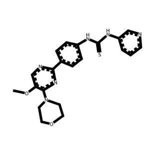 COc1cnc(-c2ccc(NC(=S)Nc3cccnc3)cc2)nc1N1CCOCC1